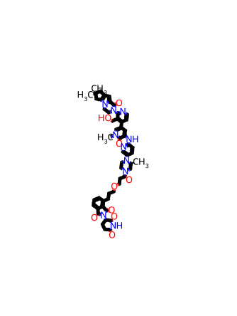 C[C@H]1CN(C(=O)CCOCCCc2cccc3c2C(=O)N(C2CCC(=O)NC2=O)C3=O)CCN1c1ccc(Nc2cc(-c3ccnc(N4CCn5c(cc6c5CC(C)(C)C6)C4=O)c3CO)cn(C)c2=O)nc1